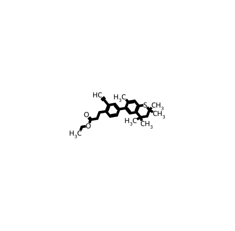 C#Cc1cc(-c2cc3c(cc2C)SC(C)(C)CC3(C)C)ccc1CCC(=O)OCC